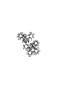 c1ccc(-c2nc(-c3cccc(N4c5ccccc5-c5ccccc5-n5c4nc4ccccc45)c3)nc3c2oc2ccccc23)cc1